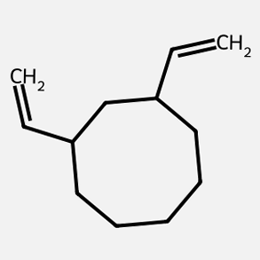 C=CC1CCCCCC(C=C)C1